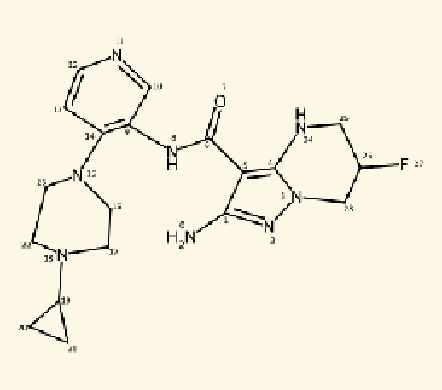 Nc1nn2c(c1C(=O)Nc1cnccc1N1CCN(C3CC3)CC1)NCC(F)C2